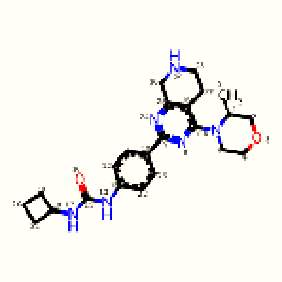 C[C@H]1COCCN1c1nc(-c2ccc(NC(=O)NC3CCC3)cc2)nc2c1CCNC2